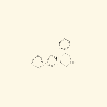 C1CNCCN1.c1cncnc1.c1cncnc1.c1cncnc1